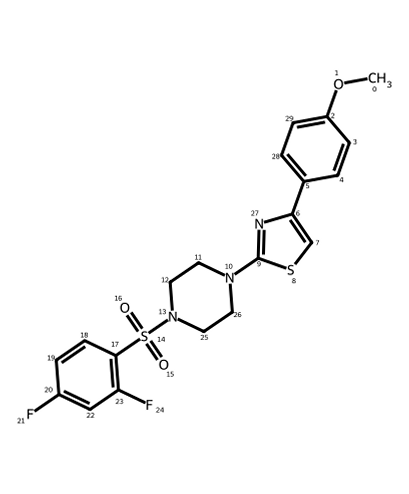 COc1ccc(-c2csc(N3CCN(S(=O)(=O)c4ccc(F)cc4F)CC3)n2)cc1